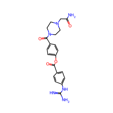 N=C(N)Nc1ccc(C(=O)Oc2ccc(C(=O)N3CCN(CC(N)=O)CC3)cc2)cc1